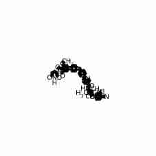 COc1cc(N2CCN(CC3CCN(c4ncc(C(=O)NC5C(C)(C)C(Oc6ccc(C#N)c(Cl)c6)C5(C)C)cn4)CC3)CC2)cc2c1C(=O)N([C@@H]1CCC(=O)NC1=O)C2=O